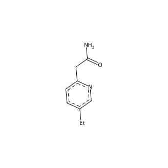 CCc1ccc(CC(N)=O)nc1